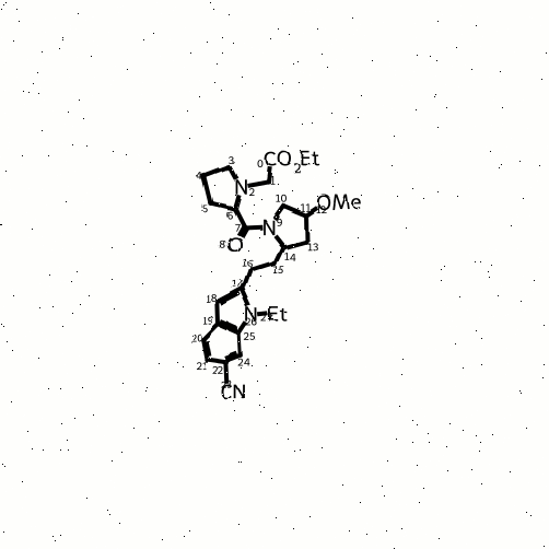 CCOC(=O)CN1CCCC1C(=O)N1CC(OC)CC1CCc1cc2ccc(C#N)cc2n1CC